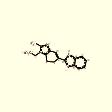 Cc1nc2c(n1CC(=O)O)CCC(c1nc3ccccc3o1)=C2